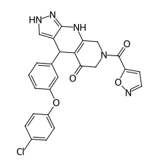 O=C1CN(C(=O)c2ccno2)CC2=C1C(c1cccc(Oc3ccc(Cl)cc3)c1)c1c[nH]nc1N2